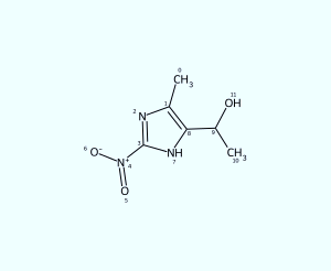 Cc1nc([N+](=O)[O-])[nH]c1C(C)O